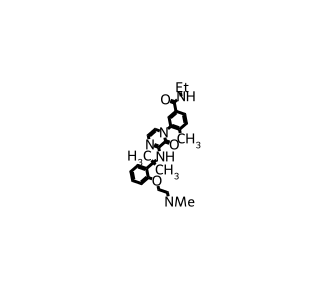 CCNC(=O)c1ccc(C)c(-n2ccnc(NC(C)(C)c3ccccc3OCCNC)c2=O)c1